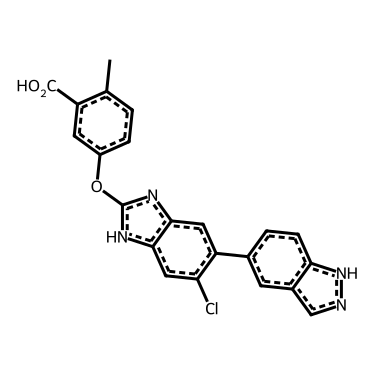 Cc1ccc(Oc2nc3cc(-c4ccc5[nH]ncc5c4)c(Cl)cc3[nH]2)cc1C(=O)O